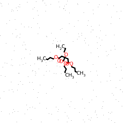 C=CCOC(CC(=O)OCCCC)(CC(=O)OCCCC)C(=O)OCCCC